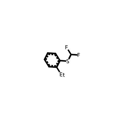 CCc1ccccc1SC(F)F